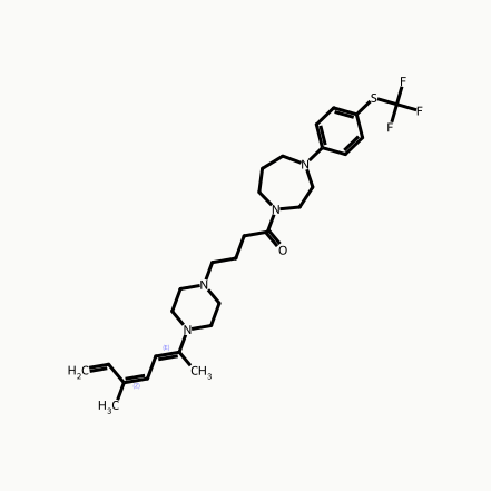 C=C/C(C)=C\C=C(/C)N1CCN(CCCC(=O)N2CCCN(c3ccc(SC(F)(F)F)cc3)CC2)CC1